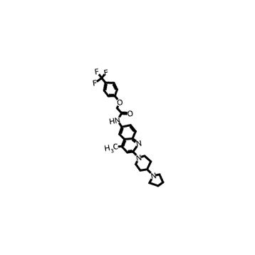 Cc1cc(N2CCC(N3CCCC3)CC2)nc2ccc(NC(=O)COc3ccc(C(F)(F)F)cc3)cc12